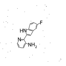 Nc1cccnc1-c1cc2cc(F)ccc2[nH]1